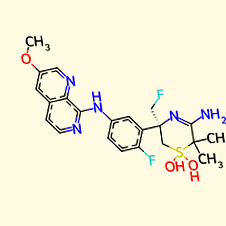 COc1cnc2c(Nc3ccc(F)c([C@]4(CF)CS(O)(O)C(C)(C)C(N)=N4)c3)nccc2c1